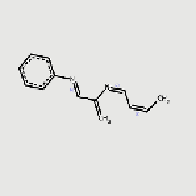 C=C(/C=N/c1ccccc1)/N=C\C=C/C